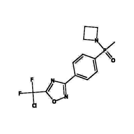 CP(=O)(c1ccc(-c2noc(C(F)(F)Cl)n2)cc1)N1CCC1